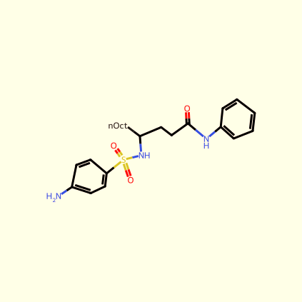 CCCCCCCCC(CCC(=O)Nc1ccccc1)NS(=O)(=O)c1ccc(N)cc1